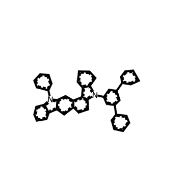 c1ccc(-c2cc(-c3ccccc3)cc(-n3c4ccccc4c4c5cc6c(cc5ccc43)c3ccccc3n6-c3ccccc3)c2)cc1